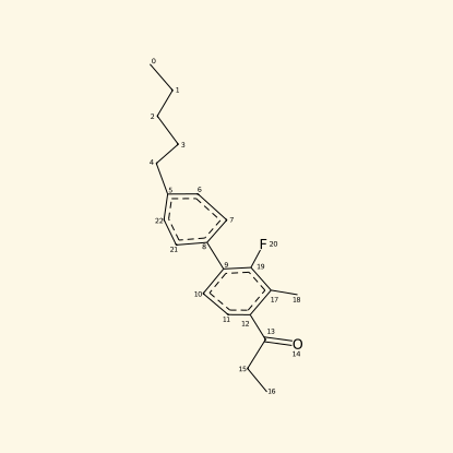 CCCCCc1ccc(-c2ccc(C(=O)CC)c(C)c2F)cc1